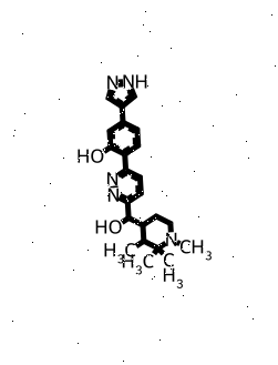 CC1C(C(O)c2ccc(-c3ccc(-c4cn[nH]c4)cc3O)nn2)CCN(C)C1(C)C